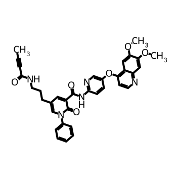 CC#CC(=O)NCCCc1cc(C(=O)Nc2ccc(Oc3ccnc4cc(OC)c(OC)cc34)cn2)c(=O)n(-c2ccccc2)c1